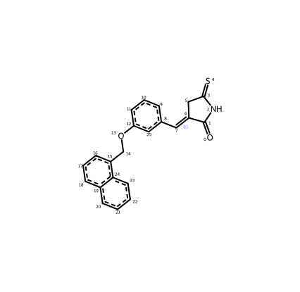 O=C1NC(=S)C/C1=C\c1cccc(OCc2cccc3ccccc23)c1